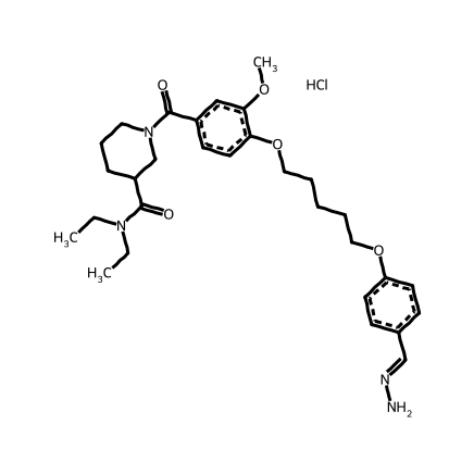 CCN(CC)C(=O)C1CCCN(C(=O)c2ccc(OCCCCCOc3ccc(C=NN)cc3)c(OC)c2)C1.Cl